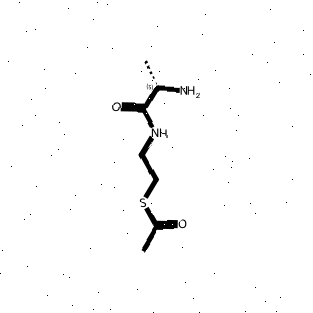 CC(=O)SCCNC(=O)[C@H](C)N